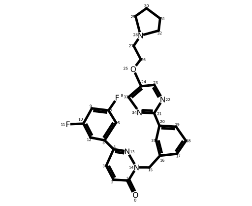 O=c1ccc(-c2cc(F)cc(F)c2)nn1Cc1cccc(-c2ncc(OCCN3CCCC3)cn2)c1